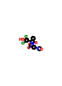 O=c1c2ccccc2c(-c2cc(Cl)c(O)c(Cl)c2)nn1-c1cc(N2CCOCC2)ccc1[N+](=O)[O-]